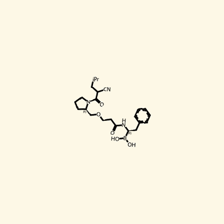 CC(C)CC(C#N)C(=O)N1CCC[C@@H]1COCCC(=O)N[C@@H](Cc1ccccc1)B(O)O